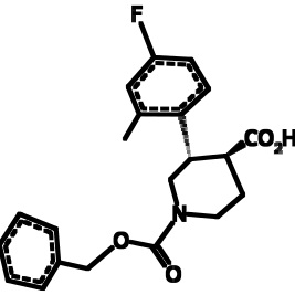 Cc1cc(F)ccc1[C@H]1CN(C(=O)OCc2ccccc2)CC[C@@H]1C(=O)O